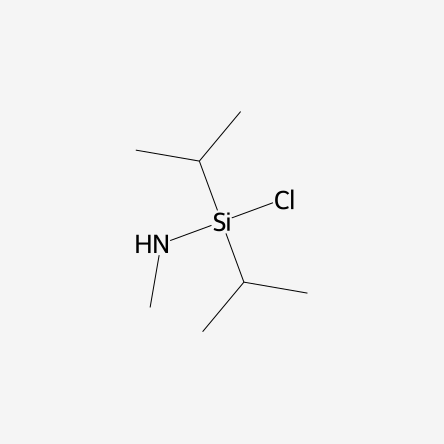 CN[Si](Cl)(C(C)C)C(C)C